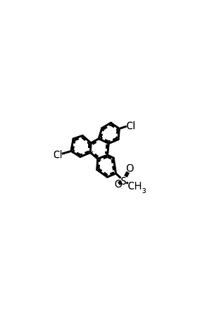 CS(=O)(=O)c1ccc2c3cc(Cl)ccc3c3ccc(Cl)cc3c2c1